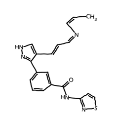 C\C=C/N=C\C=C\c1c[nH]nc1-c1cccc(C(=O)Nc2ccsn2)c1